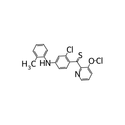 Cc1ccccc1Nc1ccc(C(=S)c2ncccc2OCl)c(Cl)c1